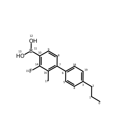 CCCc1ccc(-c2ccc(B(O)O)c(F)c2C)cc1